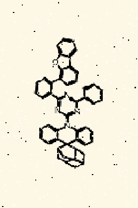 c1ccc(-c2nc(-c3ccccc3-c3cccc4c3oc3ccccc34)nc(N3c4ccccc4C4(c5ccccc53)C3CC5CC(C3)CC4C5)n2)cc1